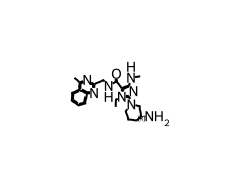 CCn1c(N2CCC[C@@H](N)C2)nc(NC)c1C(=O)NCc1nc(C)c2ccccc2n1